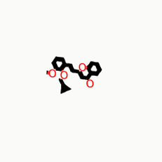 COc1cccc(C=Cc2cc(=O)c3ccccc3o2)c1OCC1CC1